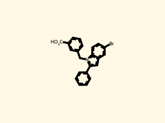 O=C(O)c1cccc(Cn2c(-c3ccccc3)cc3cc(Br)ccc32)c1